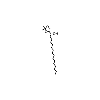 CCCCCCCCCCCCCCC[C@@H](O)[C@H]1COC(C)(C)O1